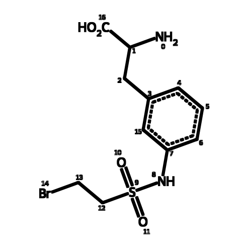 NC(Cc1cccc(NS(=O)(=O)CCBr)c1)C(=O)O